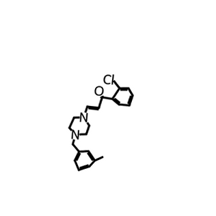 Cc1cccc(CN2CCN(C=CC(=O)c3ccccc3Cl)CC2)c1